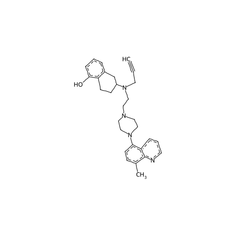 C#CCN(CCN1CCN(c2ccc(C)c3ncccc23)CC1)C1CCc2c(O)cccc2C1